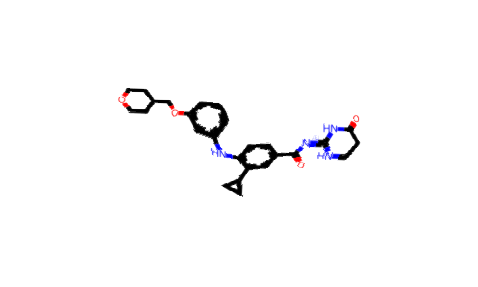 O=C1CCN/C(=N\C(=O)c2ccc(Nc3cccc(OCC4CCOCC4)c3)c(C3CC3)c2)N1